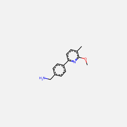 COc1nc(-c2ccc(CN)cc2)ccc1C